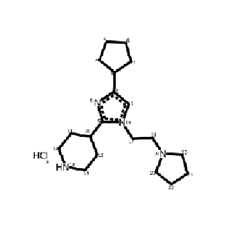 Cl.c1c(C2CCCC2)nc(C2CCNCC2)n1CCN1CCCC1